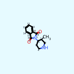 C[C@H]1CNCC[C@H]1N1C(=O)c2ccccc2C1=O